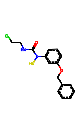 O=C(NCCCl)N(S)c1cccc(OCc2ccccc2)c1